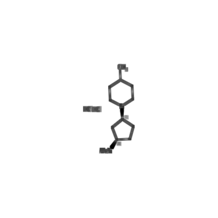 CN[C@@H]1CC[C@H](N2CCC(C)CC2)C1.Cl.Cl